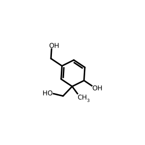 CC1(CO)C=C(CO)C=CC1O